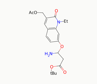 CCn1c(=O)c(COC(C)=O)cc2ccc(OC(N)CC(=O)OC(C)(C)C)cc21